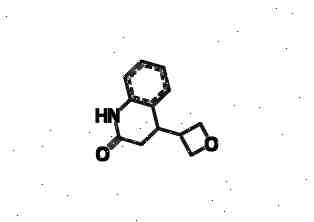 O=C1CC(C2COC2)c2ccccc2N1